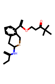 C=C(CC)NC1Cc2cccc(C(=C)OCCC(=O)C(C)(C)C)c2CS1